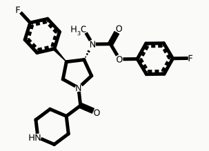 CN(C(=O)Oc1ccc(F)cc1)[C@@H]1CN(C(=O)C2CCNCC2)C[C@H]1c1ccc(F)cc1